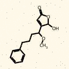 COC(CCCc1ccccc1)C1=CC(=O)OC1O